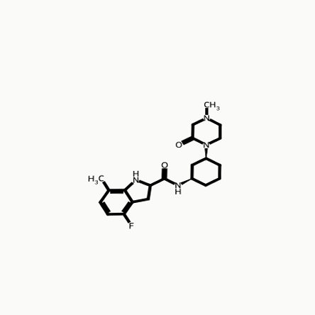 Cc1ccc(F)c2c1NC(C(=O)N[C@@H]1CCC[C@H](N3CCN(C)CC3=O)C1)C2